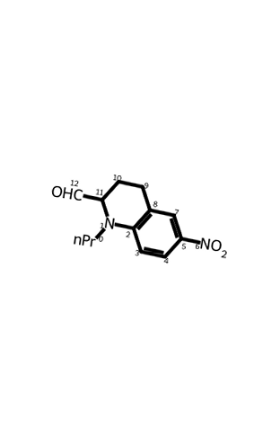 CCCN1c2ccc([N+](=O)[O-])cc2CCC1C=O